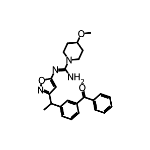 COC1CCN(/C(N)=N/c2cc(C(C)c3cccc(C(=O)c4ccccc4)c3)no2)CC1